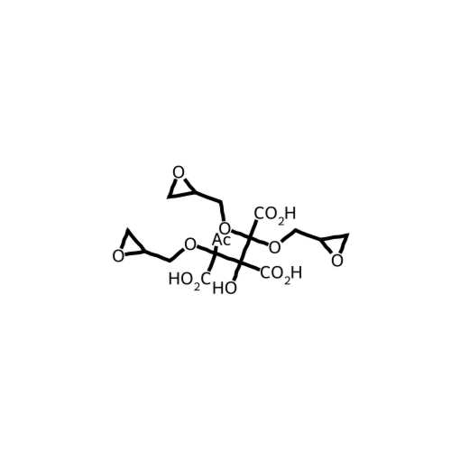 CC(=O)C(OCC1CO1)(C(=O)O)C(O)(C(=O)O)C(OCC1CO1)(OCC1CO1)C(=O)O